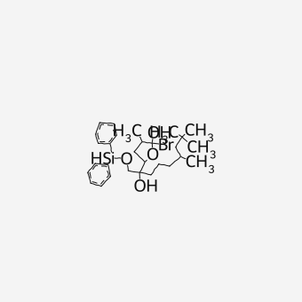 CC(CCCC(O)(CO[SiH](c1ccccc1)c1ccccc1)C1CC(C)C(O)(Br)O1)CC(C)(C)C